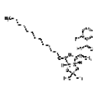 CCCCCCCCCCCCO[C@H]1O[C@H]([C@H](C)NC(=O)c2ccccc2F)[C@@H]2OC(C)(C)O[C@H]12